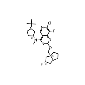 CN(c1nc(OC[C@@]23CCCN2C[C@H](F)C3)nc2c(F)c(Cl)ncc12)[C@@H]1CCN(C(C)(C)C)C1